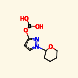 OB(O)Oc1ccn(C2CCCCO2)n1